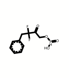 O=C(CO[PH](=O)O)C(F)(F)Cc1ccccc1